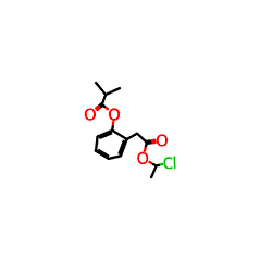 CC(Cl)OC(=O)Cc1ccccc1OC(=O)C(C)C